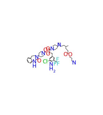 CC(CCC(=O)OCCCN(C)C)CCN(C)C1CCN(C(=O)[C@@H](Cc2cc(Cl)c(N)c(C(F)(F)F)c2)OC(=O)N2CCC(N3CCc4ccccc4NC3=O)CC2)CC1